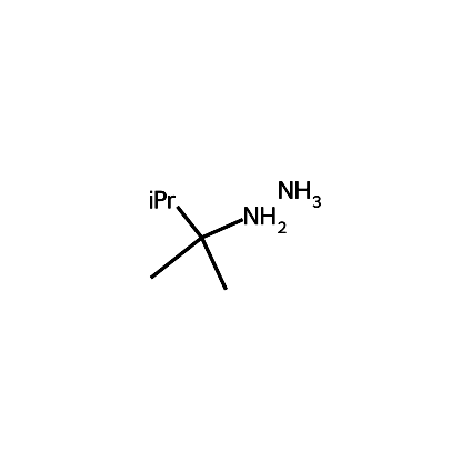 CC(C)C(C)(C)N.N